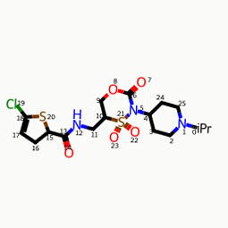 CC(C)N1CCC(N2C(=O)OCC(CNC(=O)C3CC=C(Cl)S3)S2(=O)=O)CC1